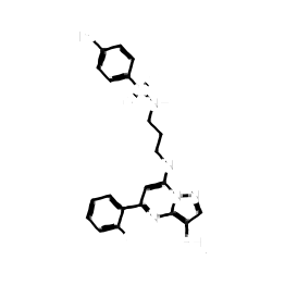 Bc1cnn2c(NCCCNS(=O)(=O)c3ccc(C(C)C)cc3)cc(-c3ccccc3Cl)nc12